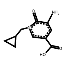 Nc1cc(C(=O)O)cn(CC2CC2)c1=O